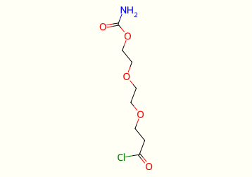 NC(=O)OCCOCCOCCC(=O)Cl